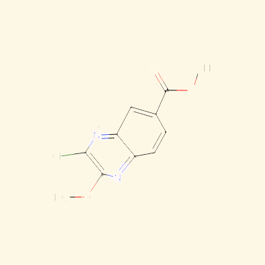 COC(=O)c1ccc2nc(OC)c(Cl)nc2c1